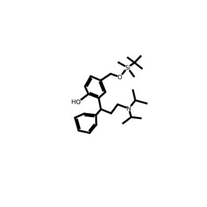 CC(C)N(CCC(c1ccccc1)c1cc(CO[Si](C)(C)C(C)(C)C)ccc1O)C(C)C